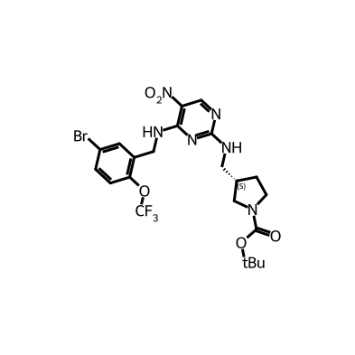 CC(C)(C)OC(=O)N1CC[C@@H](CNc2ncc([N+](=O)[O-])c(NCc3cc(Br)ccc3OC(F)(F)F)n2)C1